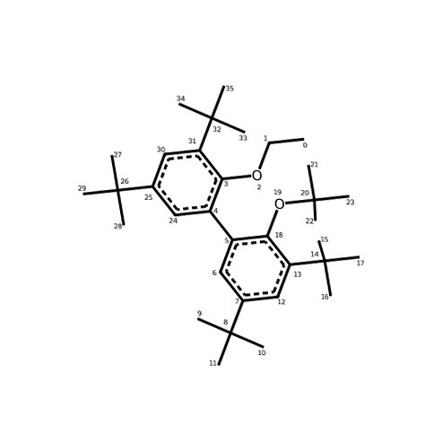 CCOc1c(-c2cc(C(C)(C)C)cc(C(C)(C)C)c2OC(C)(C)C)cc(C(C)(C)C)cc1C(C)(C)C